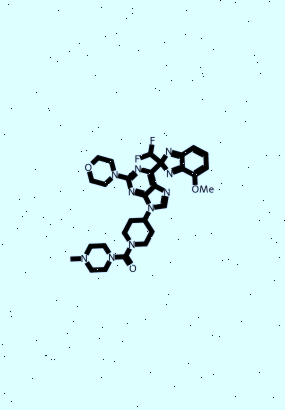 COc1cccc2c1=NC(c1nc(N3CCOCC3)nc3c1ncn3C1CCN(C(=O)N3CCN(C)CC3)CC1)(C(F)F)N=2